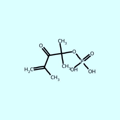 C=C(C)C(=O)C(C)(C)OP(=O)(O)O